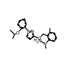 Cc1cccc(N(C)N)c1COc1ccn(-c2ccccc2OC(C)C)n1